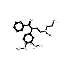 CCCN(C)CCC(C(=O)c1ccccc1)c1ccc(OC)c(OC)c1